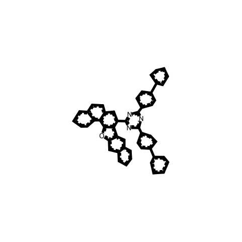 c1ccc(-c2ccc(-c3nc(-c4ccc(-c5ccccc5)cc4)nc(-c4cc5ccc6ccccc6c5c5oc6cc7ccccc7cc6c45)n3)cc2)cc1